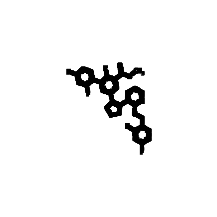 COC(=O)c1cc(C2=C(c3cccnc3OCc3ccc(F)cc3F)CCC2)cc(-c2ccc(F)cc2F)c1F